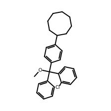 COC(c1ccccc1)(c1ccc(C2CCCCCCC2)cc1)c1ccccc1Cl